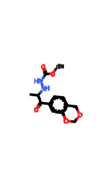 CC(NNC(=O)OC(C)(C)C)C(=O)c1ccc2c(c1)OCOC2